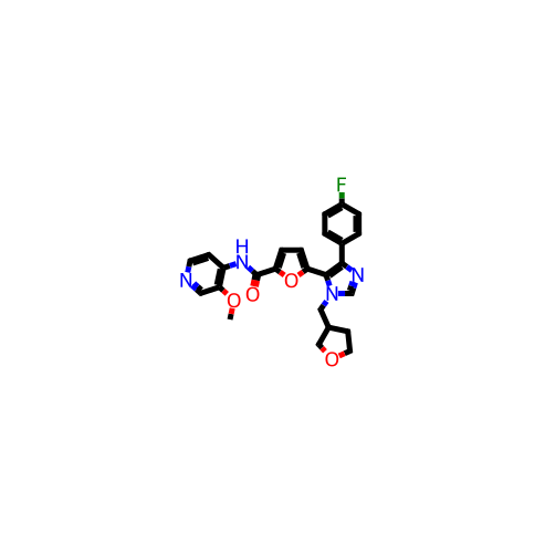 COc1cnccc1NC(=O)c1ccc(-c2c(-c3ccc(F)cc3)ncn2CC2CCOC2)o1